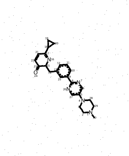 CN1CCN(c2cnc(-c3cccc(CC4N=C(C5CC5)C=CC4=O)c3)nc2)CC1